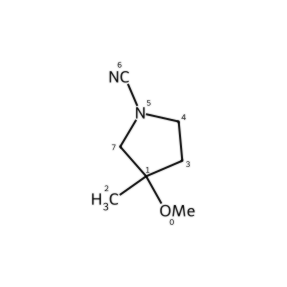 COC1(C)CCN(C#N)C1